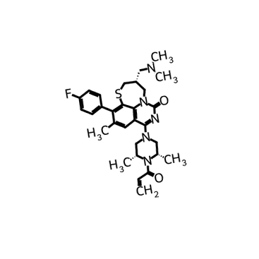 C=CC(=O)N1[C@H](C)CN(c2nc(=O)n3c4c(c(-c5ccc(F)cc5)c(C)cc24)SC[C@H](CN(C)C)C3)C[C@@H]1C